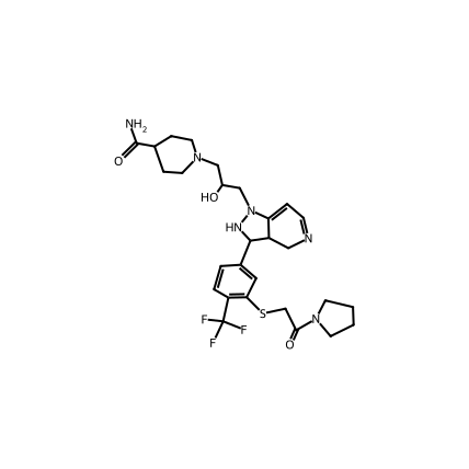 NC(=O)C1CCN(CC(O)CN2NC(c3ccc(C(F)(F)F)c(SCC(=O)N4CCCC4)c3)C3CN=CC=C32)CC1